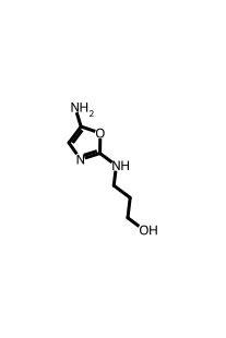 Nc1cnc(NCCCO)o1